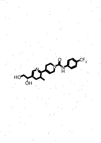 CC1CC([C@H](O)CO)=CN=C1C1=CCN(C(=O)Nc2ccc(C(F)(F)F)cc2)CC1